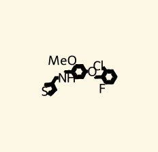 COc1cc(OCc2c(F)cccc2Cl)ccc1CNCc1ccsc1